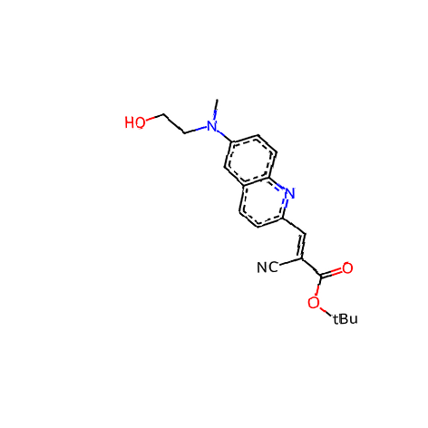 CN(CCO)c1ccc2nc(/C=C(\C#N)C(=O)OC(C)(C)C)ccc2c1